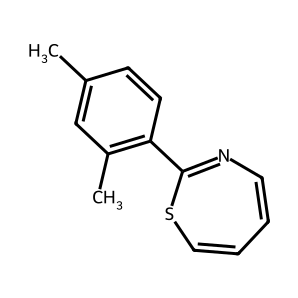 Cc1ccc(C2=NC=CC=CS2)c(C)c1